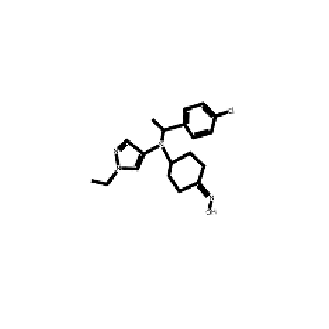 CCn1cc(N(C2CCC(=NO)CC2)C(C)c2ccc(Cl)cc2)cn1